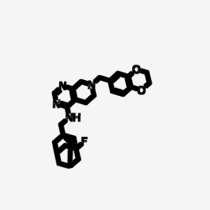 FC12CC3CC(C1)CC(CNc1ncnc4c1CCN(Cc1ccc5c(c1)OCCO5)C4)(C3)C2